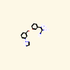 N#Cc1[nH]nnc1-c1cccc(OCc2cccc(-n3cccn3)c2)c1